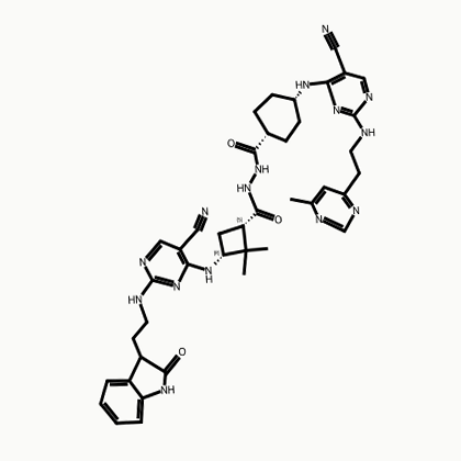 Cc1cc(CCNc2ncc(C#N)c(N[C@H]3CC[C@@H](C(=O)NNC(=O)[C@H]4C[C@@H](Nc5nc(NCCC6C(=O)Nc7ccccc76)ncc5C#N)C4(C)C)CC3)n2)ncn1